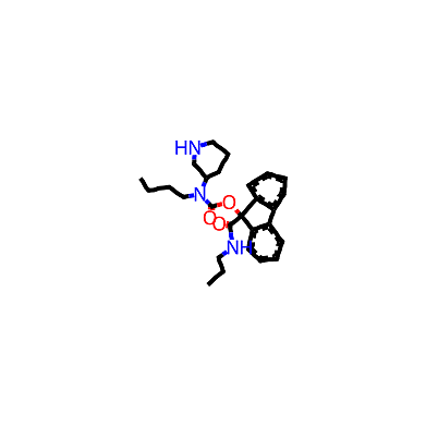 CCCCN(C(=O)OC1(C(=O)NCCC)c2ccccc2-c2ccccc21)C1CCCNC1